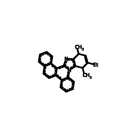 CCC1=CC(C)c2nc3c4c5ccccc5ccc4c4ccccc4n3c2C1C